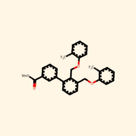 COC(=O)c1cccc(-c2cccc(COc3ccccc3C(F)(F)F)c2COc2ccccc2C(F)(F)F)c1